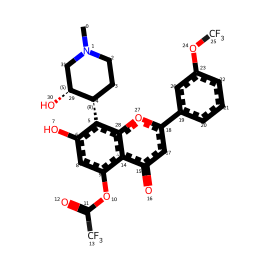 CN1CC[C@H](c2c(O)cc(OC(=O)C(F)(F)F)c3c(=O)cc(-c4cccc(OC(F)(F)F)c4)oc23)[C@H](O)C1